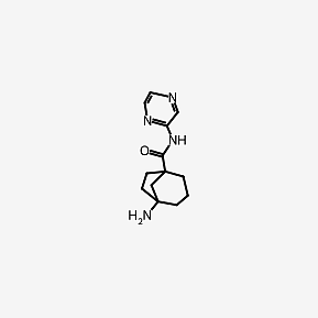 NC12CCCC(C(=O)Nc3cnccn3)(CC1)C2